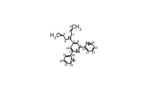 C=CCN(CC=C)c1cc(-c2ccccn2)nc(-c2ccccn2)c1